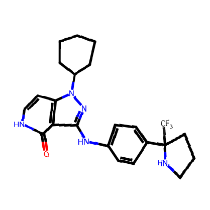 O=c1[nH]ccc2c1c(Nc1ccc(C3(C(F)(F)F)CCCN3)cc1)nn2C1CCCCC1